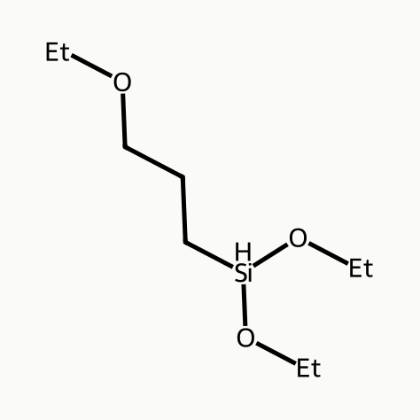 CCOCCC[SiH](OCC)OCC